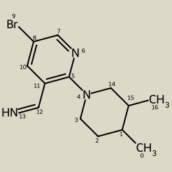 CC1CCN(c2ncc(Br)cc2C=N)CC1C